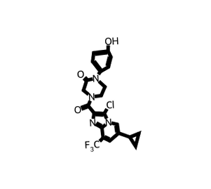 O=C(c1nc2c(C(F)(F)F)cc(C3CC3)cn2c1Cl)N1CCN(c2ccc(O)cc2)C(=O)C1